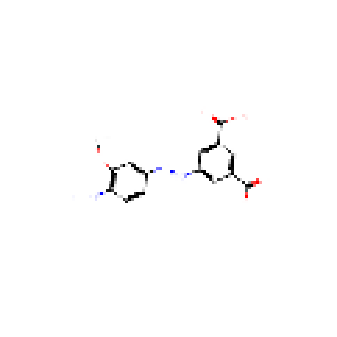 COc1cc(N=Nc2cc(C(=O)O)cc(C(=O)O)c2)ccc1N